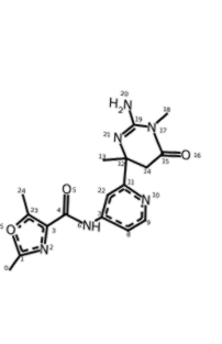 Cc1nc(C(=O)Nc2ccnc(C3(C)CC(=O)N(C)C(N)=N3)c2)c(C)o1